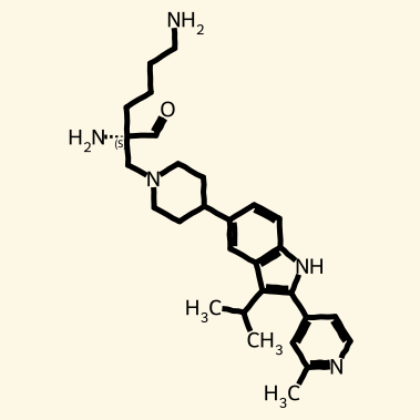 Cc1cc(-c2[nH]c3ccc(C4CCN(C[C@](N)(C=O)CCCCN)CC4)cc3c2C(C)C)ccn1